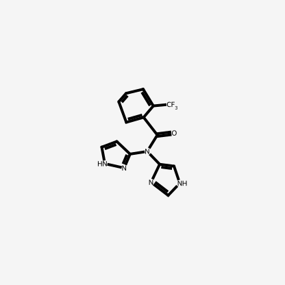 O=C(c1ccccc1C(F)(F)F)N(c1c[nH]cn1)c1cc[nH]n1